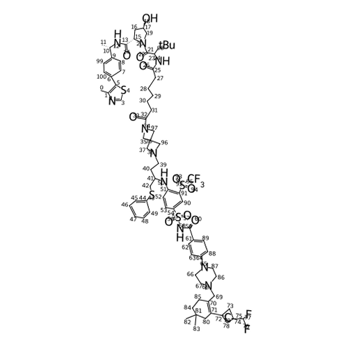 Cc1ncsc1-c1ccc([C@H](C)NC(=O)[C@@H]2C[C@@H](O)CN2C(=O)C(NC(=O)CCCCCC(=O)N2CC3(CN(CCC(CSc4ccccc4)Nc4ccc(S(=O)(=O)NC(=O)c5ccc(N6CCN(CC7=C(C89CC(C(F)F)(C8)C9)CC(C)(C)CC7)CC6)cc5)cc4S(=O)(=O)C(F)(F)F)C3)C2)C(C)(C)C)cc1